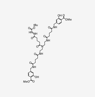 COC(=O)c1ccc(CNC(=O)CCCC(=O)NCCN(CCNC(=O)CCCC(=O)NCc2ccc(C(=O)OC)c(O)c2)C(=O)CCCC(=O)NNC(=O)OC(C)(C)C)cc1O